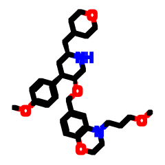 COCCCN1CCOc2ccc(CO[C@H]3CN[C@H](CC4CCOCC4)C[C@@H]3c3ccc(OC)cc3)cc21